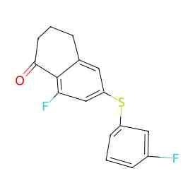 O=C1CCCc2cc(Sc3cccc(F)c3)cc(F)c21